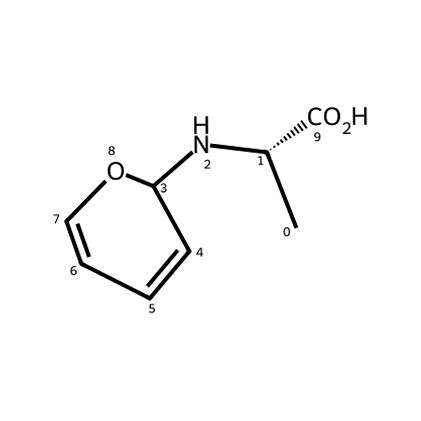 C[C@H](NC1C=CC=CO1)C(=O)O